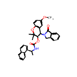 CC(NC(=O)OC1C(N2Cc3ccccc3C2=O)c2cc(OC(F)(F)F)ccc2OC1(C)C)c1cccc2ccccc12